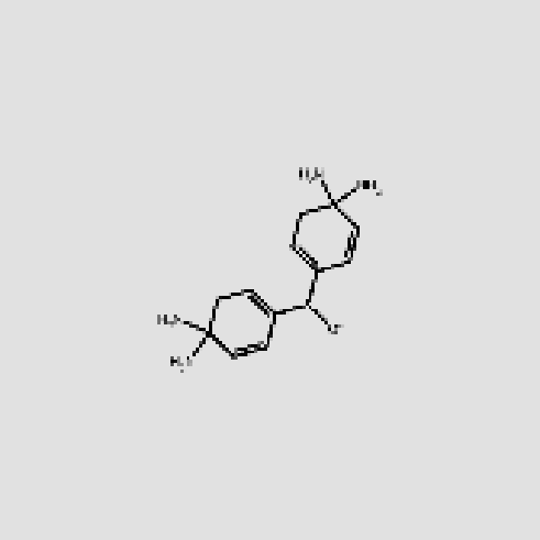 NC1(N)C=CC([S+]([O-])C2=CCC(N)(N)C=C2)=CC1